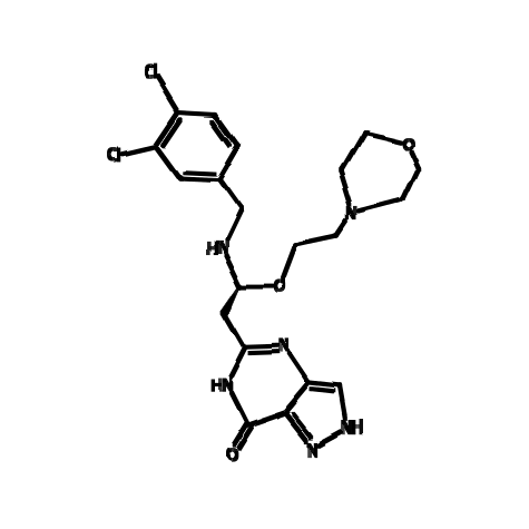 O=c1[nH]c(C[C@@H](NCc2ccc(Cl)c(Cl)c2)OCCN2CCOCC2)nc2c[nH]nc12